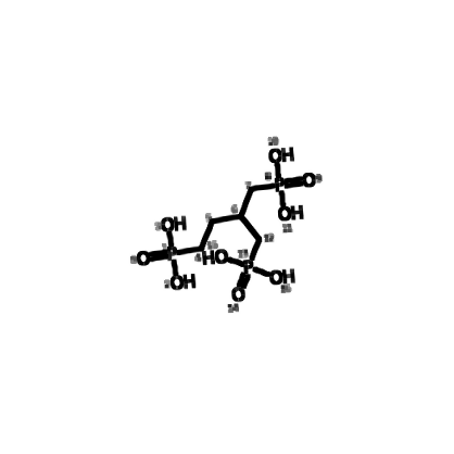 O=P(O)(O)CCC(CP(=O)(O)O)CP(=O)(O)O